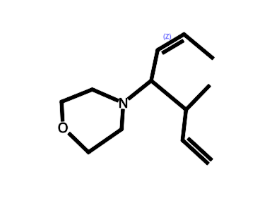 C=CC(C)C(/C=C\C)N1CCOCC1